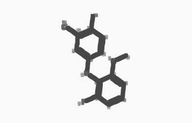 COc1cccc(F)c1Oc1ccc(C)c(Cl)c1